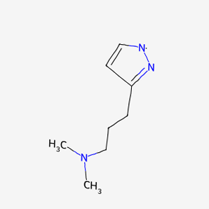 CN(C)CCCC1=N[N]C=C1